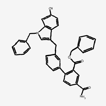 N#Cc1ccc2c(Cc3cccc(-c4ccc(C(N)=O)cc4C(=O)OCc4ccccc4)c3)cn(Cc3ccccc3)c2c1